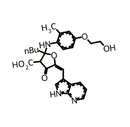 CCCCC1(Nc2ccc(OCCO)cc2C)OC(=Cc2c[nH]c3ncccc23)C(=O)C1C(=O)O